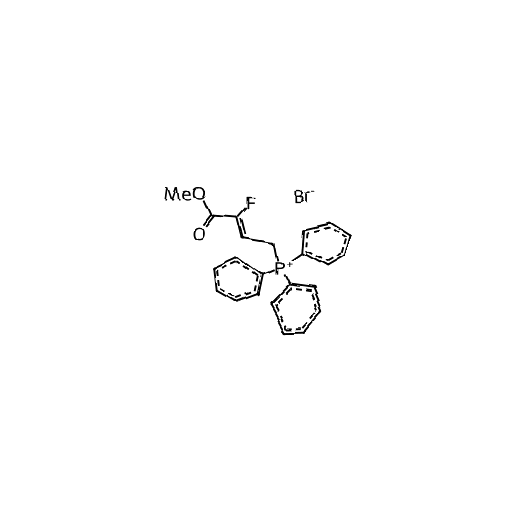 COC(=O)/C(F)=C/C[P+](c1ccccc1)(c1ccccc1)c1ccccc1.[Br-]